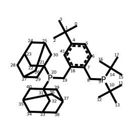 CC(C)(C)c1ccc(CP(C(C)(C)C)C(C)(C)C)c(CP(C23CC4CC(CC(C4)C2)C3)C23CC4CC(CC(C4)C2)C3)c1